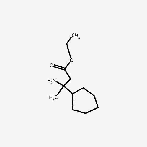 CCOC(=O)CC(C)(N)C1CCCCC1